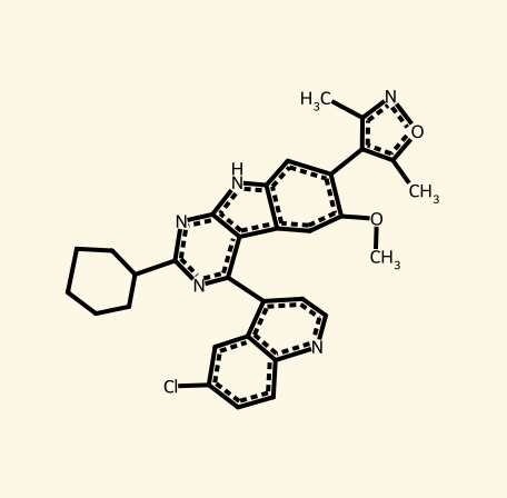 COc1cc2c(cc1-c1c(C)noc1C)[nH]c1nc(C3CCCCC3)nc(-c3ccnc4ccc(Cl)cc34)c12